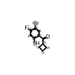 O=C(c1cc(Br)c(F)cc1S)C1CCC1